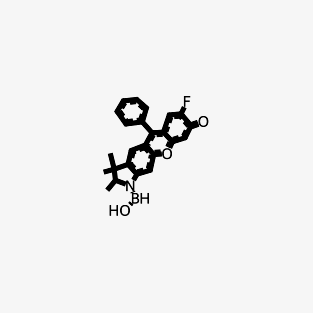 CC1N(BO)c2cc3oc4cc(=O)c(F)cc-4c(-c4ccccc4)c3cc2C1(C)C